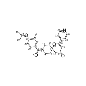 Cc1cc(C(=O)N2CCC3(CC2)CC(=O)C=C(c2ccncc2)O3)ccc1OC(C)C